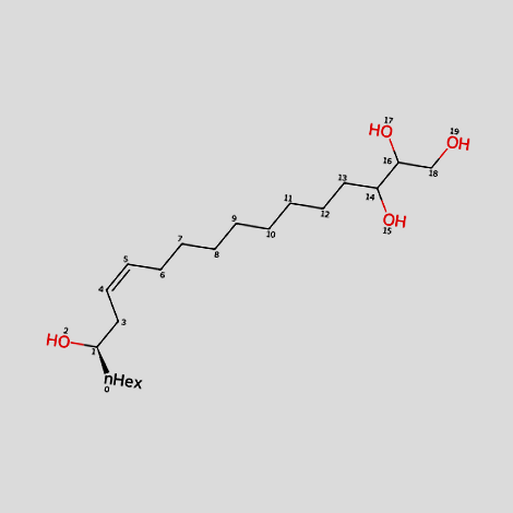 CCCCCC[C@@H](O)C/C=C\CCCCCCCCC(O)C(O)CO